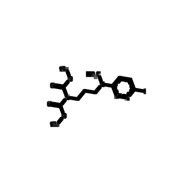 CC(C)(C)OC(=O)N(CCCN(C(=O)O)c1ccc(I)nn1)C(=O)OC(C)(C)C